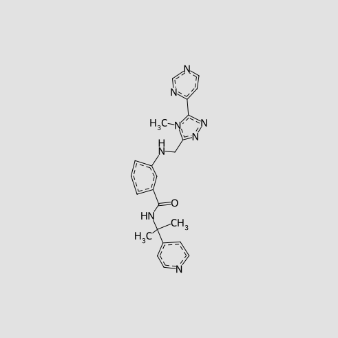 Cn1c(CNc2cccc(C(=O)NC(C)(C)c3ccncc3)c2)nnc1-c1ccncn1